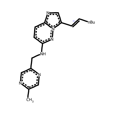 CCCC/C=C/c1cnc2ccc(NCc3cnc(C)cn3)nn12